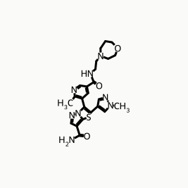 Cc1ncc(C(=O)NCCN2CCCOCC2)cc1-c1c(-c2cnn(C)c2)sc2c(C(N)=O)cnn12